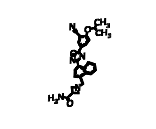 CC(C)Oc1ccc(-c2nc(-c3ccc(CN4CC(C(N)=O)C4)c4ccccc34)no2)cc1C#N